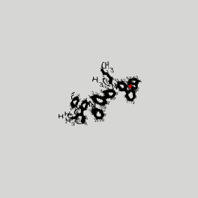 C/C=C\C=C/C(C)N(C1=CC=C(C2=CC=C(N(C3=CCCC=C3)c3ccc(N(C)c4ccc(F)cc4)c(C(/C=C\C)=C/C=C\C)c3)CC2)CC1)c1ccc2c(c1)c1c(n2C/C2=C\C/C=C\C=C/C2)C=CCC=C1